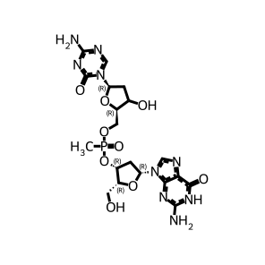 CP(=O)(OC[C@H]1O[C@@H](n2cnc(N)nc2=O)CC1O)O[C@@H]1C[C@H](n2cnc3c(=O)[nH]c(N)nc32)O[C@@H]1CO